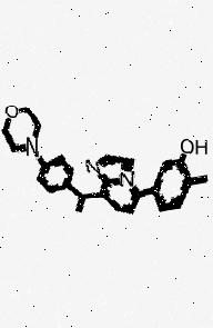 Cc1ccc(-c2ccc(C(C)c3ccc(N4CCOCC4)cc3)c3nccn23)cc1O